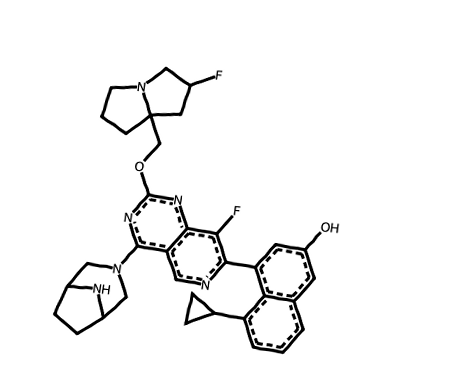 Oc1cc(-c2ncc3c(N4CC5CCC(C4)N5)nc(OCC45CCCN4CC(F)C5)nc3c2F)c2c(C3CC3)cccc2c1